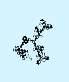 CC(C)(C)OC(=O)/N=C(\NCCCC[C@@H](NC(=O)OC(C)(C)C)C(=O)NCCCN(CCCNC(=O)[C@@H](CCCCN/C(=N\C(=O)OC(C)(C)C)NC(=O)OC(C)(C)C)NC(=O)OC(C)(C)C)CCOc1ccc(CCCCNC(=N)NC(=O)c2nc(Cl)c(N)nc2N)c2c1CCCC2)NC(=O)OC(C)(C)C